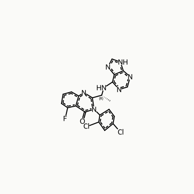 C[C@@H](Nc1ncnc2[nH]cnc12)c1nc2cccc(F)c2c(=O)n1-c1ccc(Cl)cc1Cl